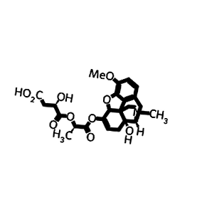 COc1ccc2c3c1OC1C(OC(=O)[C@H](C)OC(=O)[C@@H](O)CC(=O)O)=CC[C@@]4(O)[C@@H](C2)N(C)CCC314